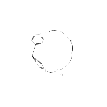 [Br-].[Br-].c1c[n+]2ccc1-c1cc[n+](cc1)CCCCCCCCCCCC2